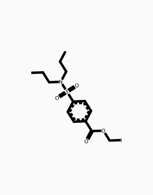 CCCN(CCC)S(=O)(=O)c1ccc(C(=O)OCI)cc1